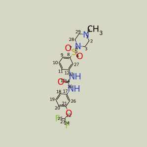 CN1CCN(S(=O)(=O)c2cccc(NC(=O)Nc3cccc(OC(F)F)c3)c2)CC1